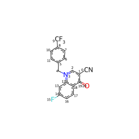 N#Cc1cn(Cc2ccc(C(F)(F)F)cc2)c2cc(F)ccc2c1=O